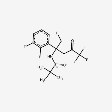 CC(C)(C)[S@@+]([O-])NC(CF)(CC(=O)C(F)(F)F)c1cccc(F)c1F